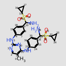 Cc1cnc(Nc2ccc(C(N)S(=O)(=O)C3CC3)cc2)nc1Nc1ccc(C(N)S(=O)(=O)C2CC2)cc1